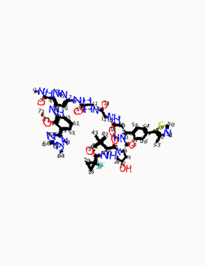 CNC(=O)c1nnc(NC(=O)CNC(=O)CNC(=O)C[C@H](NC(=O)[C@@H]2C[C@@H](O)CN2C(=O)[C@@H](NC(=O)C2(F)CC2)C(C)(C)C)c2ccc(-c3scnc3C)cc2)cc1Nc1cccc(-c2ncn(C)n2)c1OC